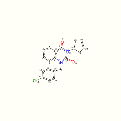 O=c1c2ccccc2n(Cc2ccc(Cl)cc2)c(=O)n1C1CC=CC1